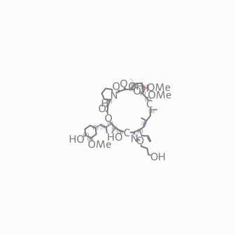 C=CC[C@@H]1/C=C(\C)C[C@H](C)C[C@H](OC)[C@H]2O[C@@](O)(C(=O)C(=O)N3CCCC[C@H]3C3OC3O[C@H](/C(C)=C/[C@@H]3CC[C@@H](O)[C@H](OC)C3)[C@H](C)[C@@H](O)C/C1=N/OCCCO)[C@H](C)C[C@@H]2OC